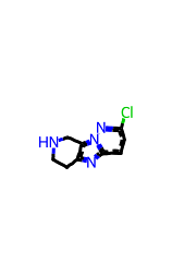 Clc1ccc2nc3c(n2n1)CNCC3